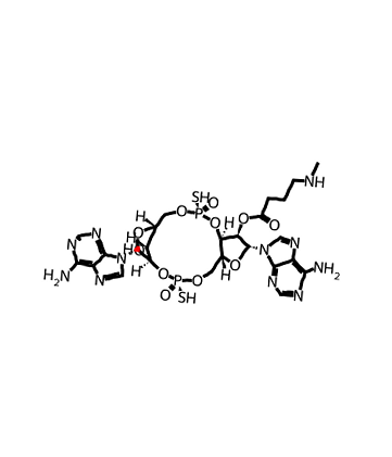 CNCCCC(=O)O[C@@H]1[C@@H]2O[P@](=O)(S)OC[C@H]3O[C@@H](n4cnc5c(N)ncnc54)[C@H](O[P@](=O)(S)OC[C@H]2O[C@H]1n1cnc2c(N)ncnc21)[C@@H]3O